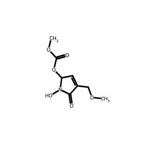 COCC1=CC(OC(=O)OC)N(O)C1=O